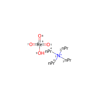 CCC[N+](CCC)(CCC)CCC.[O]=[Re](=[O])(=[O])[OH]